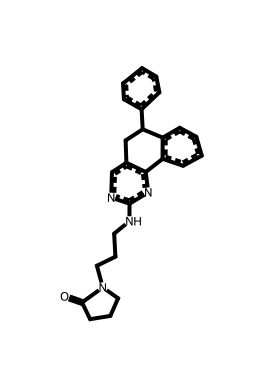 O=C1CCCN1CCCNc1ncc2c(n1)-c1ccccc1C(c1ccccc1)C2